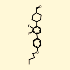 CCCCOc1ccc(-c2ccc(C3CCC(C=O)CC3)c(F)c2F)cc1